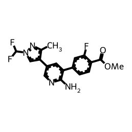 COC(=O)c1ccc(-c2cc(-c3cn(C(F)F)nc3C)cnc2N)cc1F